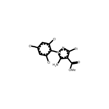 CCc1nn(-c2c(Cl)cc(Cl)cc2Cl)c(N)c1C(=O)OC